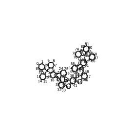 c1ccc(C2(c3ccccc3)c3ccccc3-c3cc4c(cc32)c2cccc3c2n4-c2cccc4c2B3c2cc3c(cc2O4)Oc2cccc4c2B3c2cccc3c5cc6c(cc5n-4c23)-c2ccccc2C6(c2ccccc2)c2ccccc2)cc1